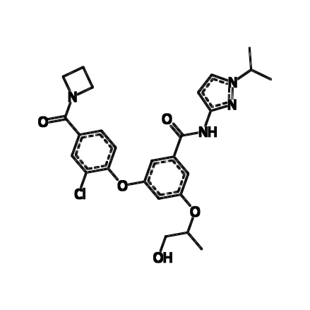 CC(CO)Oc1cc(Oc2ccc(C(=O)N3CCC3)cc2Cl)cc(C(=O)Nc2ccn(C(C)C)n2)c1